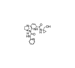 O=C(NC1(CO)CC1)C1C=CC2=C(N1)N(C(=O)Nc1ccccn1)[C@H]1CCN2C1